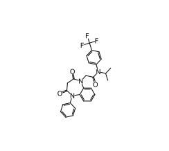 CC(C)N(C(=O)CN1C(=O)CC(=O)N(c2ccccc2)c2ccccc21)c1ccc(C(F)(F)F)cc1